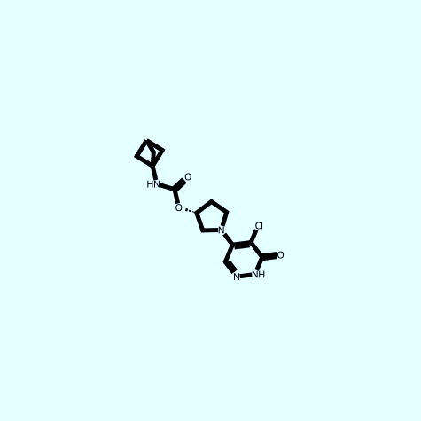 O=C(NC12CC(C1)C2)O[C@@H]1CCN(c2cn[nH]c(=O)c2Cl)C1